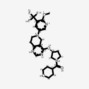 COc1ncc(N2CCc3ncnc(O[C@H]4CCN(C(=O)C5CCOCC5)C4)c3C2)cc1C(F)(F)F